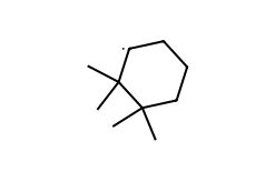 CC1(C)[CH]CCCC1(C)C